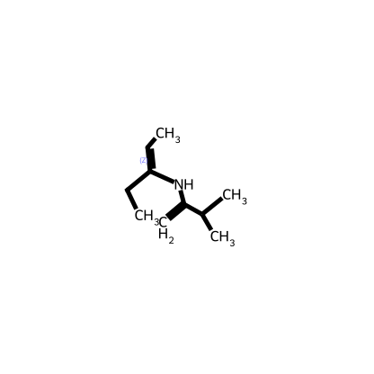 C=C(N/C(=C\C)CC)C(C)C